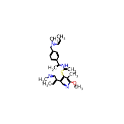 C=C(NC(=C)c1ccc(CN(C)/C=C\C)cc1)Sc1c(C(/C=N\C)=C/C)cnc(OC)c1C